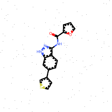 O=C(Nc1n[nH]c2cc(-c3ccsc3)ccc12)c1ccco1